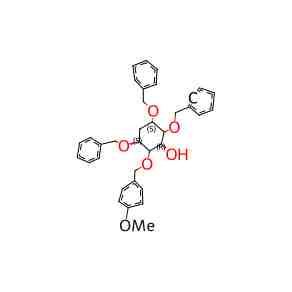 COc1ccc(COC2[C@H](O)C(OCc3ccccc3)[C@@H](OCc3ccccc3)C[C@@H]2OCc2ccccc2)cc1